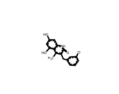 Cc1c(Cc2cccc(Cl)c2)c(=O)[nH]c2cc(O)cc(O)c12